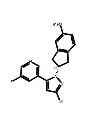 COc1ccc2c(c1)C[C@@H](n1nc(C(C)C)cc1-c1cncc(F)c1)C2